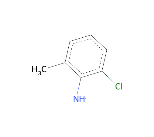 Cc1cccc(Cl)c1[NH]